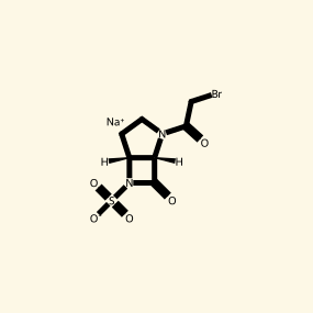 O=C(CBr)N1CC[C@@H]2[C@H]1C(=O)N2S(=O)(=O)[O-].[Na+]